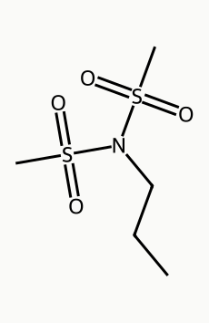 CCCN(S(C)(=O)=O)S(C)(=O)=O